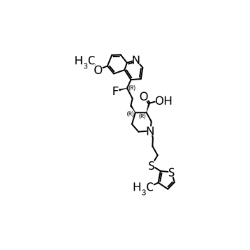 COc1ccc2nccc([C@H](F)CC[C@@H]3CCN(CCCSc4sccc4C)C[C@@H]3C(=O)O)c2c1